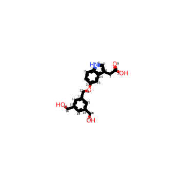 O=C(O)Cc1c[nH]c2ccc(OCc3cc(CO)cc(CO)c3)cc12